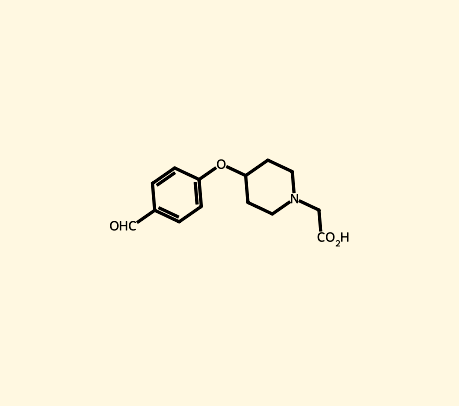 O=Cc1ccc(OC2CCN(CC(=O)O)CC2)cc1